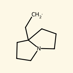 [CH2]CC12CCCN1CCC2